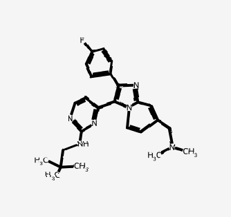 CN(C)Cc1ccn2c(-c3ccnc(NCC(C)(C)C)n3)c(-c3ccc(F)cc3)nc2c1